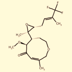 CO[C@@H]1C(=O)/C=C(/C)COCC[C@H]1[C@@]1(C)O[C@@H]1C/C=C(\C)C(F)(F)F